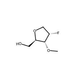 CO[C@H]1[C@@H](F)[CH]O[C@@H]1CO